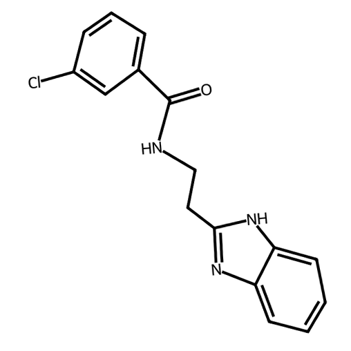 O=C(NCCc1nc2ccccc2[nH]1)c1cccc(Cl)c1